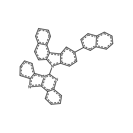 c1ccc2cc(-c3ccc4c(c3)c3c5ccccc5ccc3n4-c3nc4ccccc4c4nc5ccccc5n34)ccc2c1